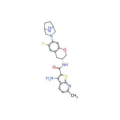 Cc1ccc2c(N)c(C(=O)N[C@H]3COc4cc(N5CC6CCC(C5)N6)c(F)cc4C3)sc2n1